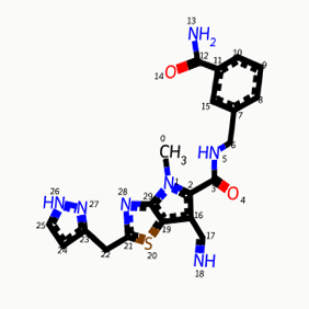 Cn1c(C(=O)NCc2cccc(C(N)=O)c2)c(C=N)c2sc(Cc3cc[nH]n3)nc21